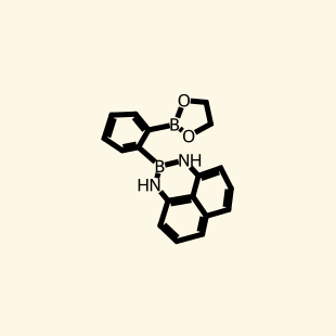 c1ccc(B2OCCO2)c(B2Nc3cccc4cccc(c34)N2)c1